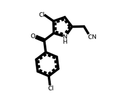 N#CCc1cc(Cl)c(C(=O)c2ccc(Cl)cc2)[nH]1